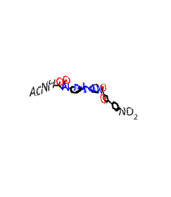 CC(=O)NCC1CN(c2ccc(N3CCN(C(=O)c4cc(-c5ccc([N+](=O)[O-])cc5)co4)CC3)nc2)C(=O)O1